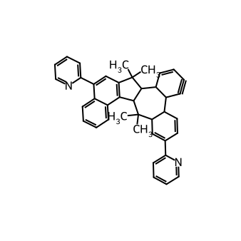 CC1(C)c2cc(-c3ccccn3)c3ccccc3c2C2C1C1C=CC#CC1C1C=CC(c3ccccn3)=CC1C2(C)C